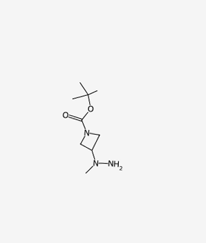 CN(N)C1CN(C(=O)OC(C)(C)C)C1